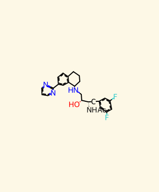 CC(=O)N[C@@H](Cc1cc(F)cc(F)c1)[C@H](O)CN[C@H]1CCCc2ccc(-c3ncccn3)cc21